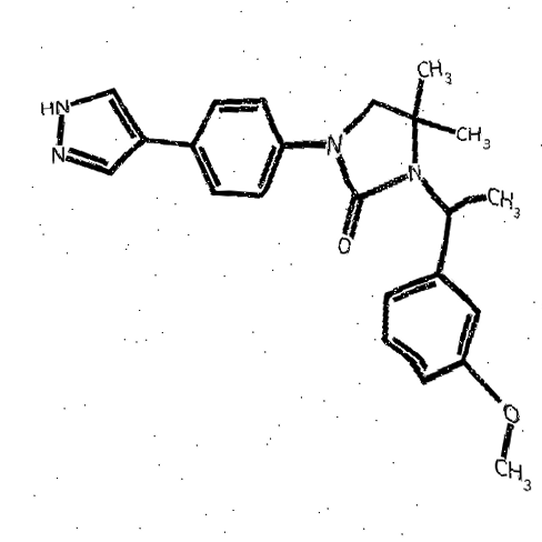 COc1cccc(C(C)N2C(=O)N(c3ccc(-c4cn[nH]c4)cc3)CC2(C)C)c1